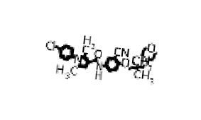 Cc1cc(C(=O)Nc2ccc(OCC(C)(C)CN3CCOCC3)c(C#N)c2)c(C)n1-c1ccc(Cl)cc1